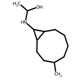 CC1CCCCC2C(CC1)C2NC(C)O